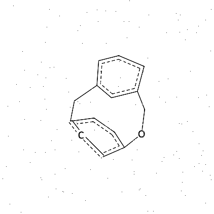 c1cc2cc(c1)Cc1ccc(cc1)OC2